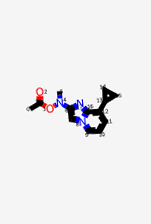 CC(=O)ON(C)c1cn2cccc(C3CC3)c2n1